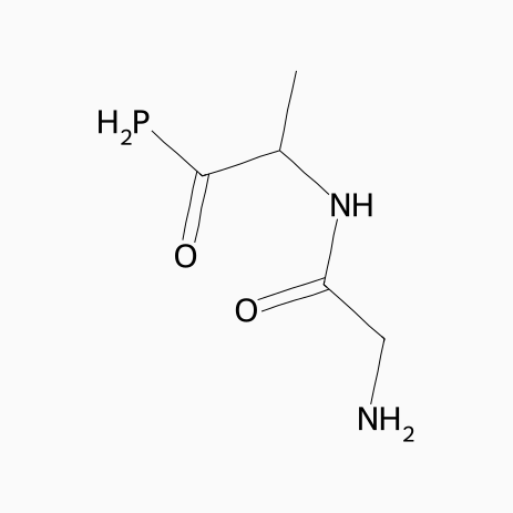 CC(NC(=O)CN)C(=O)P